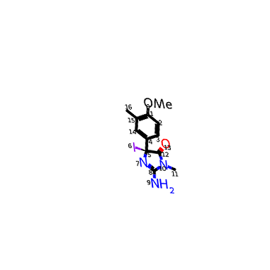 COc1ccc([C@@]2(I)N=C(N)N(C)C2=O)cc1C